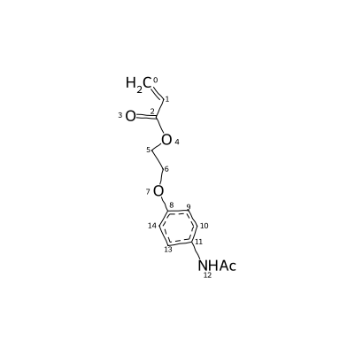 C=CC(=O)OCCOc1ccc(NC(C)=O)cc1